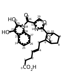 O=C(O)CCC=CCC1C2CCC(O2)C1c1nc(C(=O)n2c(O)c(O)c3ccccc32)co1